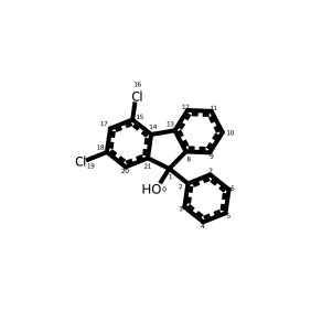 OC1(c2ccccc2)c2ccccc2-c2c(Cl)cc(Cl)cc21